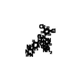 CC1(Cc2ccc(-c3cncnc3N)cc2)C(=O)N(c2cc(Cl)cc(Cl)c2)c2ncc(S(N)(=O)=O)n21